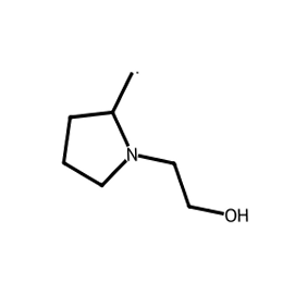 [CH2]C1CCCN1CCO